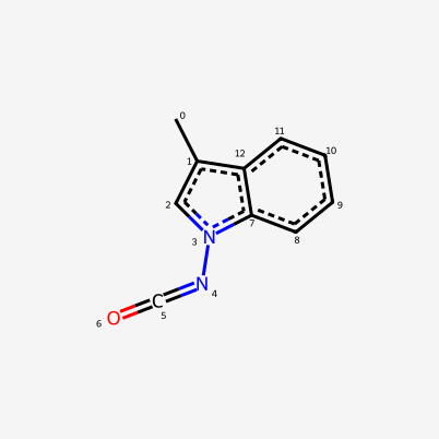 Cc1cn(N=C=O)c2ccccc12